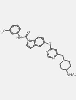 CC(=O)NC1CCN(Cc2cc(Oc3ccc4c(ccn4C(=O)Nc4cccc(C(F)(F)F)c4)c3)ncn2)CC1